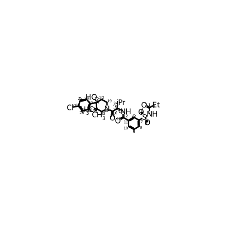 CCC(=O)NS(=O)(=O)c1cccc(C(=O)N[C@@H](C(=O)N2CC[C@](O)(c3ccc(Cl)cc3)C(C)(C)C2)C(C)C)c1